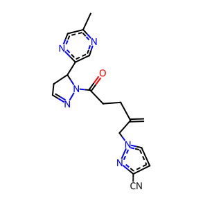 C=C(CCC(=O)N1N=CCC1c1cnc(C)cn1)Cn1ccc(C#N)n1